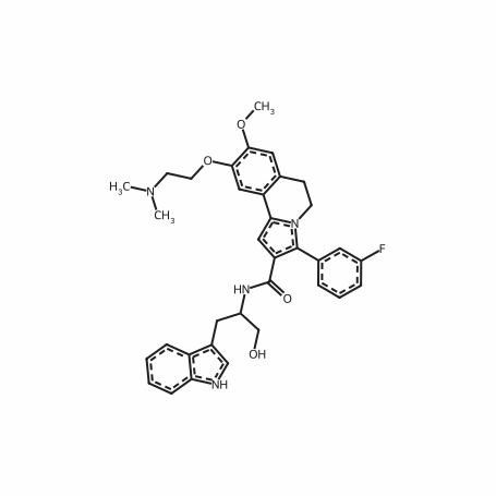 COc1cc2c(cc1OCCN(C)C)-c1cc(C(=O)NC(CO)Cc3c[nH]c4ccccc34)c(-c3cccc(F)c3)n1CC2